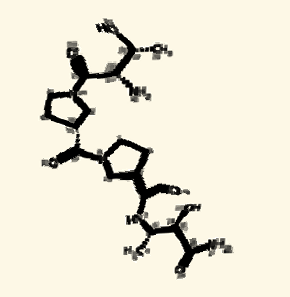 C[C@H](NC(=O)C1CCN(C(=O)[C@@H]2CCN(C(=O)[C@@H](N)[C@@H](C)O)C2)C1)[C@@H](O)C(N)=O